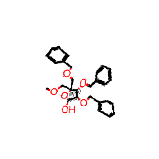 COC[C@]1(COCc2ccccc2)O[C@H](O)[C@H](OCc2ccccc2)[C@@H]1OCc1ccccc1